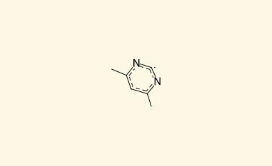 Cc1cc(C)n[c]n1